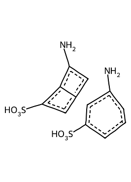 Nc1cc2cc(S(=O)(=O)O)c1-2.Nc1cccc(S(=O)(=O)O)c1